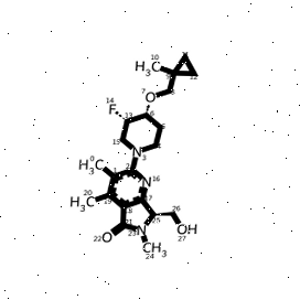 Cc1c(N2CC[C@@H](OCC3(C)CC3)[C@@H](F)C2)nc2c(c1C)C(=O)N(C)[C@@H]2CO